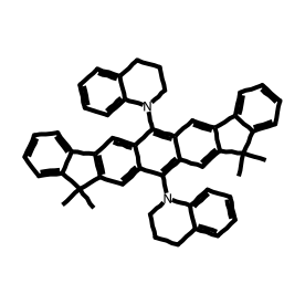 CC1(C)c2ccccc2-c2cc3c(N4CCCc5ccccc54)c4cc5c(cc4c(N4CCCc6ccccc64)c3cc21)C(C)(C)c1ccccc1-5